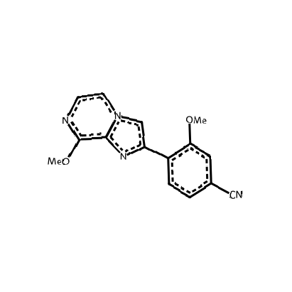 COc1cc(C#N)ccc1-c1cn2ccnc(OC)c2n1